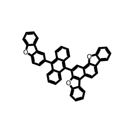 c1ccc2c(c1)oc1ccc(-c3c4ccccc4c(-c4cc5c(ccc6c7ccccc7oc65)c5c4oc4ccccc45)c4ccccc34)cc12